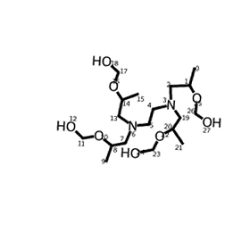 CC(CN(CCN(CC(C)OCO)CC(C)OCO)CC(C)OCO)OCO